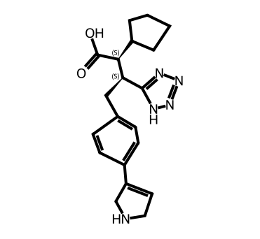 O=C(O)[C@@H](C1CCCC1)[C@H](Cc1ccc(C2=CCNC2)cc1)c1nnn[nH]1